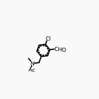 CC(=O)N(C)Cc1ccc(Cl)c(C=O)c1